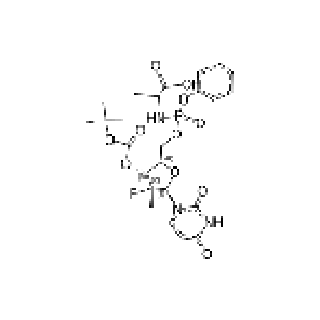 CC(NP(=O)(OC[C@H]1O[C@@H](n2ccc(=O)[nH]c2=O)[C@](C)(F)[C@@H]1OC(=O)OC(C)(C)C)Oc1ccccc1)C(=O)O